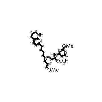 COC[C@@H](F)CN(CCCCc1ccc2c(n1)NCCC2)CCC(Nc1ccnc(OC)n1)C(=O)O